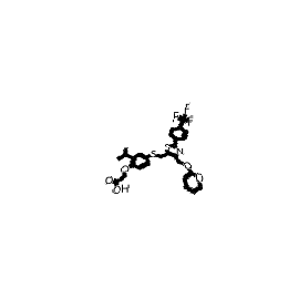 CC(C)c1cc(SCc2sc(-c3ccc(C(F)(F)F)cc3)nc2COC2CCCCO2)ccc1OCC(=O)O